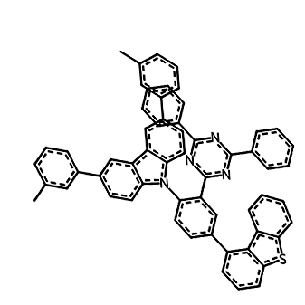 Cc1cccc(-c2ccc3c(c2)c2cc(-c4cccc(C)c4)ccc2n3-c2ccc(-c3cccc4sc5ccccc5c34)cc2-c2nc(-c3ccccc3)nc(-c3ccccc3)n2)c1